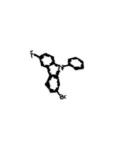 Fc1ccc2c(c1)c1ccc(Br)cc1n2-c1ccccc1